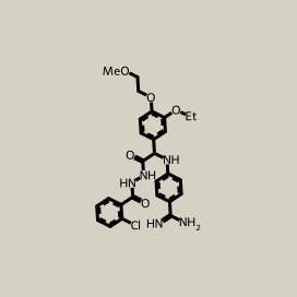 CCOc1cc(C(Nc2ccc(C(=N)N)cc2)C(=O)NNC(=O)c2ccccc2Cl)ccc1OCCOC